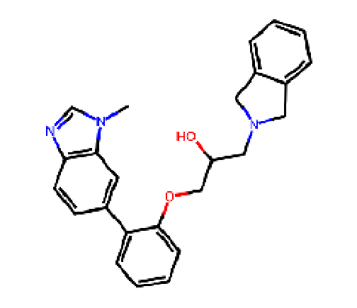 Cn1cnc2ccc(-c3ccccc3OCC(O)CN3Cc4ccccc4C3)cc21